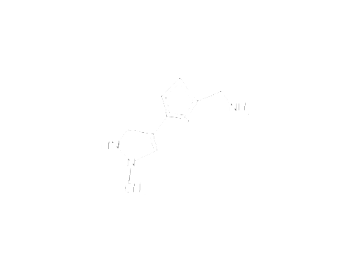 CN1C=C(c2ccc(CN)s2)CN1